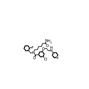 NC(=O)CCCCCN(Cc1ccccc1F)C(=O)c1cc(Cl)cc(OCCNc2ccncc2)c1